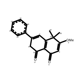 COC1=CC(=O)C2=C(C=C(c3ccccc3)CC2=O)C1(C)C